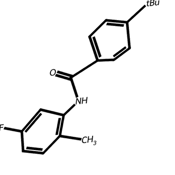 Cc1ccc(F)cc1NC(=O)c1ccc(C(C)(C)C)cc1